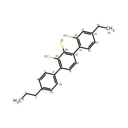 CCCc1ccc(-c2ccc(-c3ccc(CC)cc3F)c(F)c2F)cc1